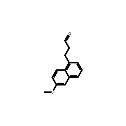 COc1ccc2c(CCC=O)cccc2c1